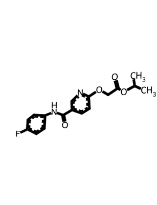 CC(C)OC(=O)COc1ccc(C(=O)Nc2ccc(F)cc2)cn1